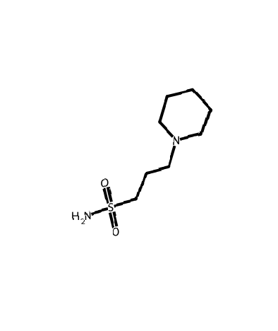 NS(=O)(=O)CCCN1CCCCC1